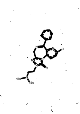 CCCCN(CCCC)CCn1nc2n(c1=O)-c1ccc(Cl)nc1C(c1ccccc1)=NC2